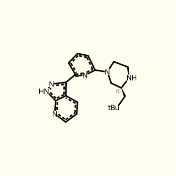 CC(C)(C)C[C@H]1CN(c2cccc(-c3n[nH]c4ncccc34)n2)CCN1